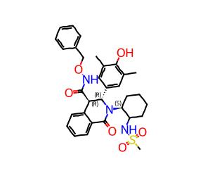 Cc1cc([C@H]2[C@H](C(=O)NOCc3ccccc3)c3ccccc3C(=O)N2[C@H]2CCCCC2NS(C)(=O)=O)cc(C)c1O